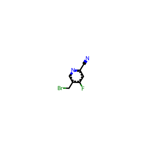 N#Cc1cc(F)c(CBr)cn1